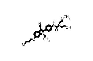 CCn1c(-c2ccc(NC(=O)N(CCO)CCOC)cc2)c(C#N)c2ccc(OCCCCl)cc21